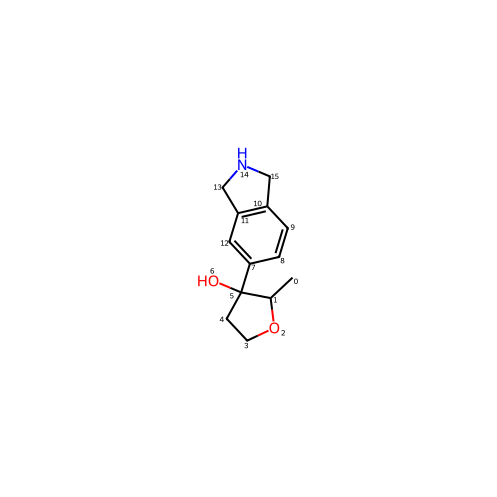 CC1OCCC1(O)c1ccc2c(c1)CNC2